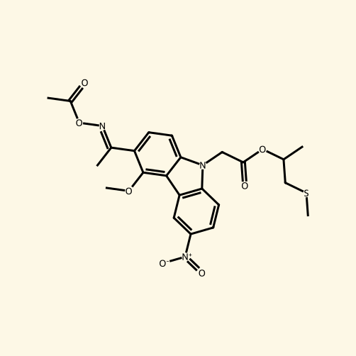 COc1c(/C(C)=N/OC(C)=O)ccc2c1c1cc([N+](=O)[O-])ccc1n2CC(=O)OC(C)CSC